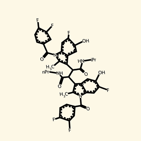 CCCNC(=O)C(c1c(C)n(C(=O)c2ccc(F)c(F)c2)c2cc(F)c(O)cc12)C(C(=O)NC(C)C)c1c(C)n(C(=O)c2ccc(F)c(F)c2)c2cc(F)c(O)cc12